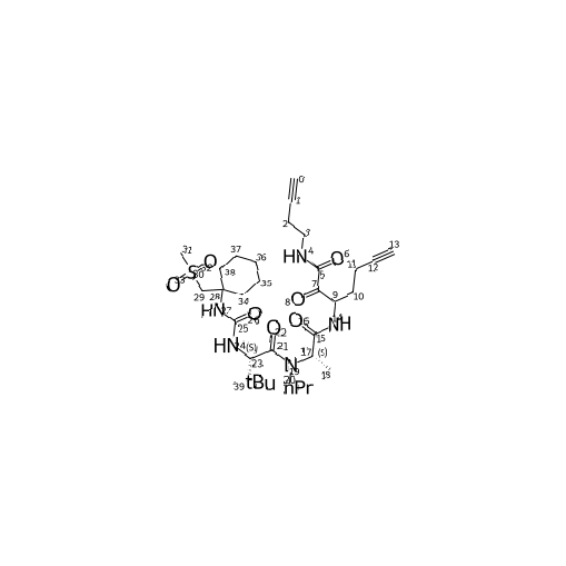 C#CCCNC(=O)C(=O)C(CCC#C)NC(=O)[C@H](C)N(CCC)C(=O)[C@@H](NC(=O)NC1(CS(C)(=O)=O)CCCCC1)C(C)(C)C